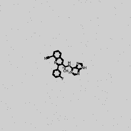 C[C@H](Nc1ncnc2[nH]cnc12)c1cc2cccc(C#N)c2nc1-c1cccc(F)c1